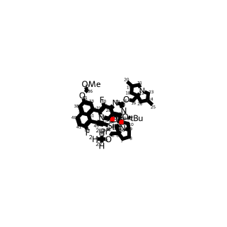 [2H]C([2H])([2H])OCC12CCC(CN(c3nc(OCC45CC(C)CN4CC(C)C5)nc4c(F)c(-c5cc(OCOC)cc6ccc(F)c(C#C[Si](C(C)C)(C(C)C)C(C)C)c56)ncc34)C1)N2C(=O)OC(C)(C)C